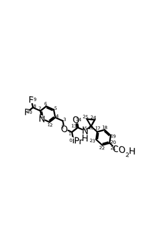 CC(C)C(OCc1ccc(C(F)F)nc1)C(=O)NC1(c2ccc(C(=O)O)cc2)CC1